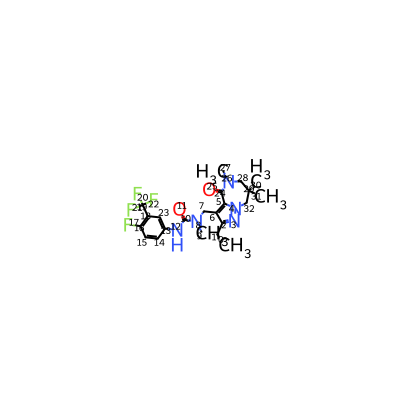 CCc1nn2c(c1CN(C)C(=O)Nc1ccc(F)c(C(F)(F)F)c1)C(=O)N(C)CC(C)(C)C2